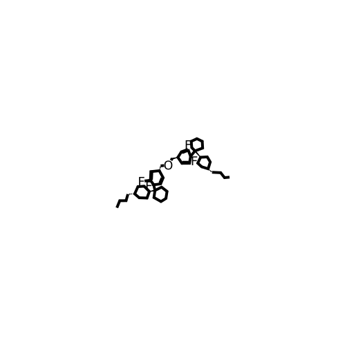 CCCC[C@H]1CC[C@H](C2([C@@]3(F)C=C[C@@H](COC[C@@H]4C=C[C@](F)(C5([C@H]6CC[C@H](CCCC)CC6)CCCCC5)C(F)=C4)C=C3F)CCCCC2)CC1